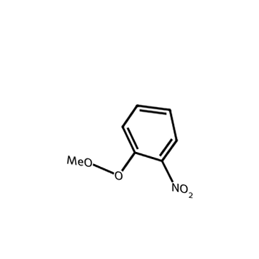 COOc1ccccc1[N+](=O)[O-]